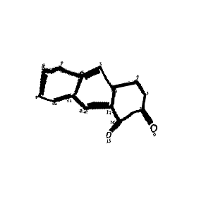 O=C1CCC2C=C3CC=CC=C3C=C2C1=O